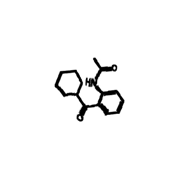 CC(=O)Nc1ccccc1C(=O)C1CCCCC1